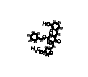 COC1=NOC(CNC(=O)C(Cc2cccc(O)c2)NC(=O)OCc2ccccc2)C1